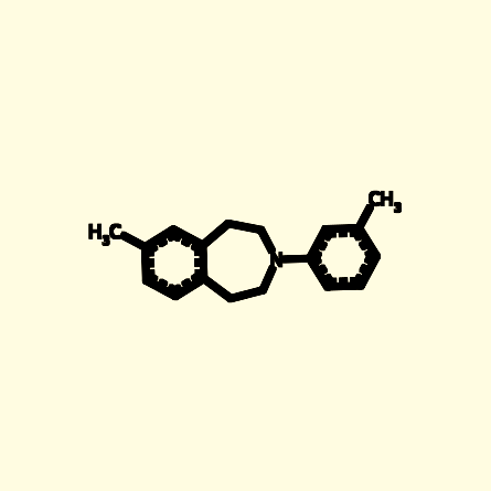 Cc1cccc(N2CCc3ccc(C)cc3CC2)c1